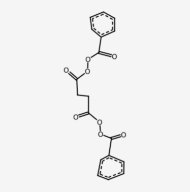 O=C(CCC(=O)OOC(=O)c1ccccc1)OOC(=O)c1ccccc1